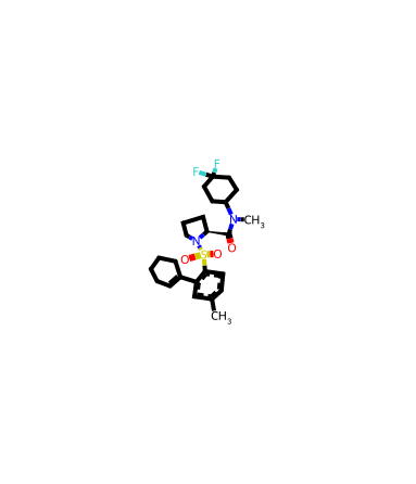 Cc1ccc(S(=O)(=O)N2CCC[C@H]2C(=O)N(C)C2CCC(F)(F)CC2)c(C2=CCCCC2)c1